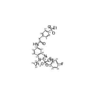 CCS(=O)(=O)c1ccc(CC(=O)Nc2ccc3c(c2)nc(C(C)(C)Oc2ccc(F)cc2F)n3C2CC2)cc1